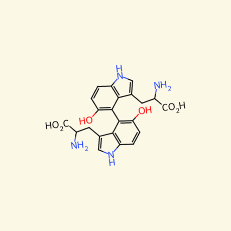 NC(Cc1c[nH]c2ccc(O)c(-c3c(O)ccc4[nH]cc(CC(N)C(=O)O)c34)c12)C(=O)O